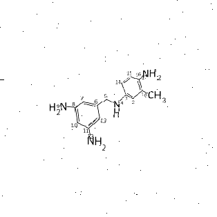 Cc1cc(NCc2cc(N)cc(N)c2)ccc1N